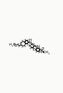 CNC(=O)c1cccc(Nc2nc(Nc3ccc4c(c3)CCN(CCOC)CC4)ncc2Cl)c1